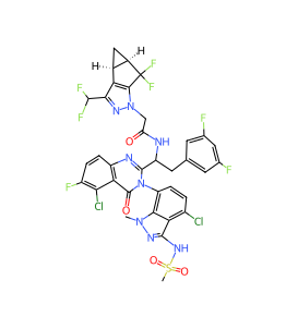 Cn1nc(NS(C)(=O)=O)c2c(Cl)ccc(-n3c(C(Cc4cc(F)cc(F)c4)NC(=O)Cn4nc(C(F)F)c5c4C(F)(F)[C@@H]4C[C@H]54)nc4ccc(F)c(Cl)c4c3=O)c21